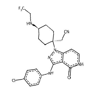 N#CC[C@]1(n2nc(Nc3ccc(Cl)cc3)c3c(=O)[nH]ccc32)CC[C@@H](NCC(F)(F)F)CC1